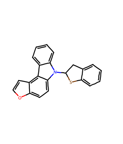 c1ccc2c(c1)CC(n1c3ccccc3c3c4ccoc4ccc31)S2